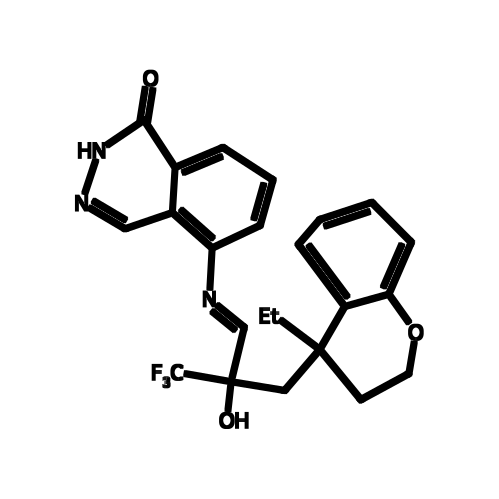 CCC1(CC(O)(C=Nc2cccc3c(=O)[nH]ncc23)C(F)(F)F)CCOc2ccccc21